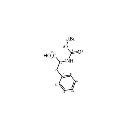 CC(C)(C)OC(=O)NC(Cc1ccccc1)C(=O)O